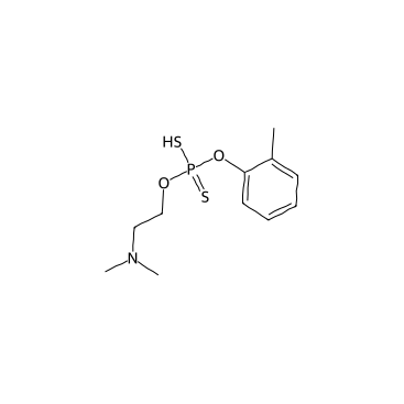 Cc1ccccc1OP(=S)(S)OCCN(C)C